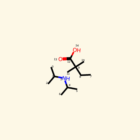 CC(C)NC(C)C.CCC(C)(C)C(=O)O